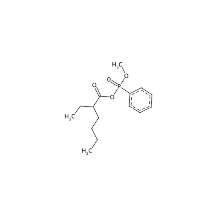 CCCCC(CC)C(=O)OP(=O)(OC)c1ccccc1